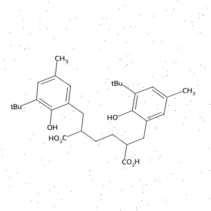 Cc1cc(CC(CCC(Cc2cc(C)cc(C(C)(C)C)c2O)C(=O)O)C(=O)O)c(O)c(C(C)(C)C)c1